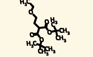 CCOCCC(C(=O)OC(C)(C)C)C(=O)OC(C)(C)C